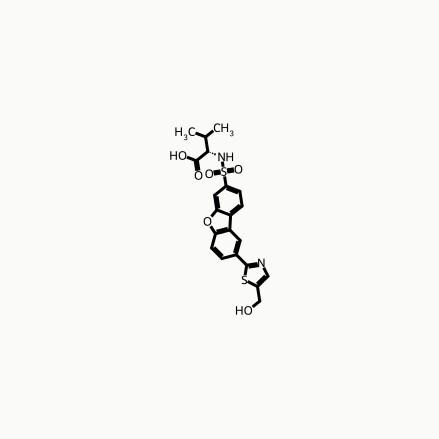 CC(C)[C@H](NS(=O)(=O)c1ccc2c(c1)oc1ccc(-c3ncc(CO)s3)cc12)C(=O)O